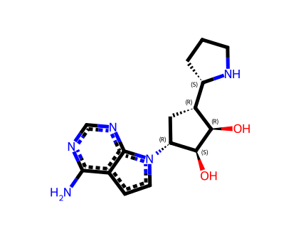 Nc1ncnc2c1ccn2[C@@H]1C[C@H]([C@@H]2CCCN2)[C@@H](O)[C@H]1O